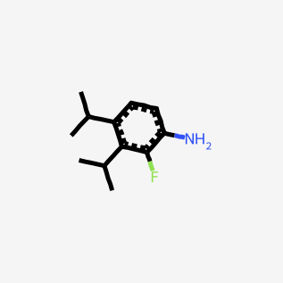 CC(C)c1ccc(N)c(F)c1C(C)C